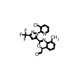 Cc1cccc2c1N=C(c1cc(C(F)(F)F)nn1-c1ncccc1Cl)OC2C=O